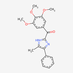 COc1cc(C(=O)c2nc(-c3ccccc3)c(C)[nH]2)cc(OC)c1OC